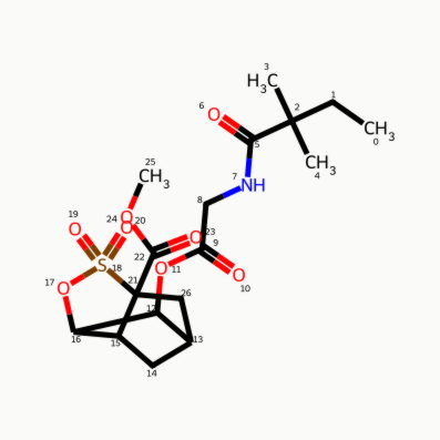 CCC(C)(C)C(=O)NCC(=O)OC1C2CC3C1OS(=O)(=O)C3(C(=O)OC)C2